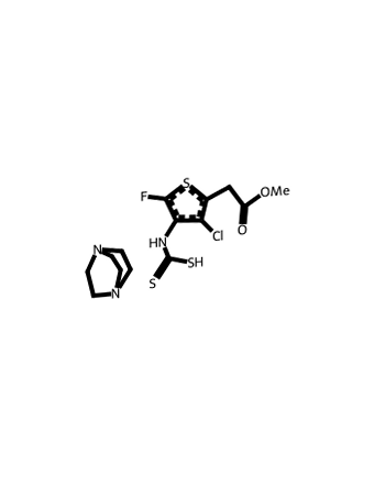 C1CN2CCN1CC2.COC(=O)Cc1sc(F)c(NC(=S)S)c1Cl